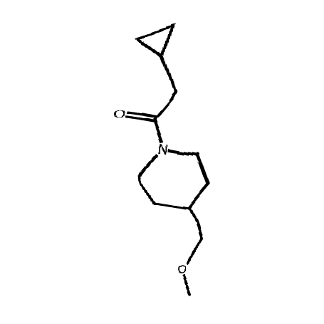 COCC1CCN(C(=O)CC2CC2)CC1